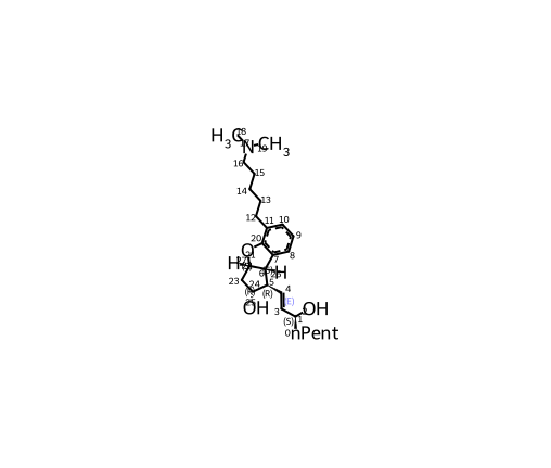 CCCCC[C@H](O)/C=C/[C@@H]1[C@H]2c3cccc(CCCCCN(C)C)c3O[C@H]2C[C@H]1O